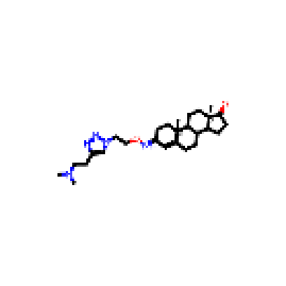 CN(C)CCc1cn(CCO/N=C2/C=C3CCC4C(CC[C@]5(C)C(=O)CCC45)[C@@]3(C)CC2)nn1